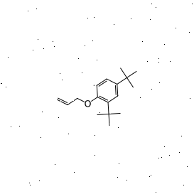 C=CCOc1[c]cc(C(C)(C)C)cc1C(C)(C)C